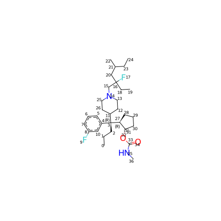 CCC[C@@](c1cccc(F)c1)(C1CCN(CC(F)(CC)CC(C)CC)CC1)[C@H]1CCC[C@@H]1OC(=O)NC